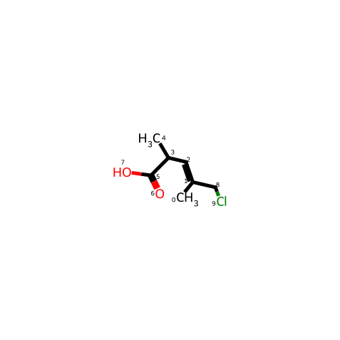 C/C(=C\C(C)C(=O)O)CCl